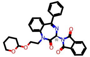 O=C1[C@H](N2C(=O)c3ccccc3C2=O)N=C(c2ccccc2)c2ccccc2N1CCOC1CCCCO1